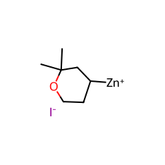 CC1(C)C[CH]([Zn+])CCO1.[I-]